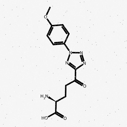 COc1ccc(-n2nnc(C(=O)CC[C@H](N)C(=O)O)n2)cc1